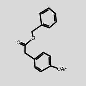 CC(=O)Oc1ccc(CC(=O)OCc2ccccc2)cc1